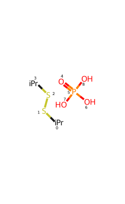 CC(C)SSC(C)C.O=P(O)(O)O